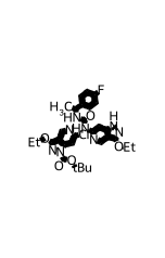 CCOc1n[nH]c2cc(NC(=O)NC(C)c3ccc(F)cc3)ncc12.CCOc1nn(C(=O)OC(C)(C)C)c2cc(Cl)ncc12